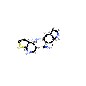 N#Cc1cnc2sccc2c1Nc1ccc2[nH]ccc2c1